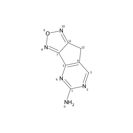 Nc1ncc2c(n1)-c1nonc1C2